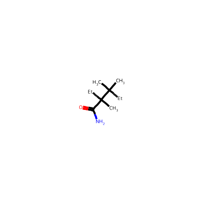 CCC(C)(C)C(C)(CC)C(N)=O